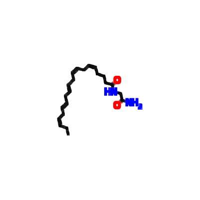 CC/C=C\CC=CCC=CC/C=C\C/C=C\CCCC(=O)NCC(N)=O